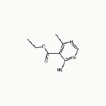 CCOC(=O)c1c(C)ncnc1S